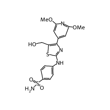 COc1cc(-c2nc(Nc3ccc(S(N)(=O)=O)cc3)sc2CO)cc(OC)n1